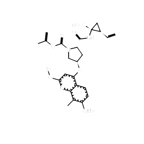 C=C[C@@H]1C[C@]1(NC(=O)[C@@H]1C[C@@H](Oc2cc(OCC)nc3c(C)c(OC)ccc23)CN1C(=O)OC(=C)C)C(=O)O